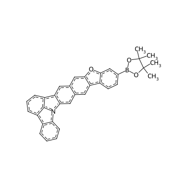 CC1(C)OB(c2ccc3c(c2)oc2cc4cc5c6cccc7c8ccccc8n(c5cc4cc23)c76)OC1(C)C